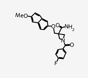 COc1ccc2cc(OCC3(C(N)=O)CN(C(=O)c4ccc(F)cc4)C3)ccc2c1